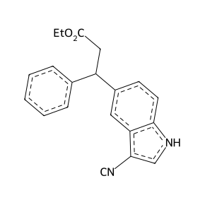 [C-]#[N+]c1c[nH]c2ccc(C(CC(=O)OCC)c3ccccc3)cc12